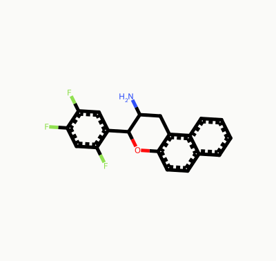 NC1Cc2c(ccc3ccccc23)OC1c1cc(F)c(F)cc1F